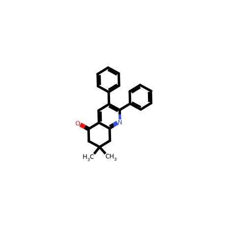 CC1(C)CC(=O)c2cc(-c3ccccc3)c(-c3cc[c]cc3)nc2C1